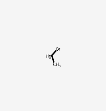 CCBr.[Hg]